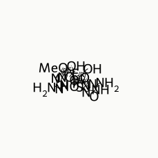 CO[C@H]1[C@H](n2cnc3c(N)ncnc32)OC(C)(COP(O)(=S)[C@@H]2[C@@H](F)[C@@H](CO)O[C@H]2n2cnc3c(=O)[nH]c(N)nc32)[C@H]1O